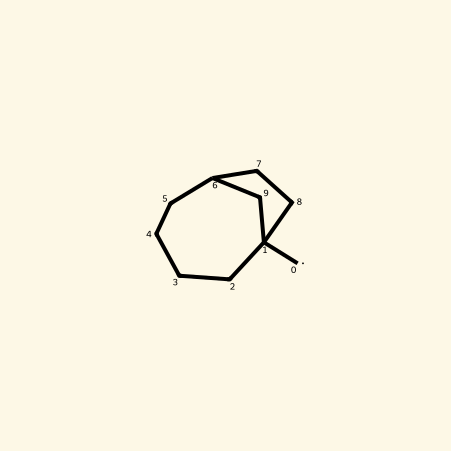 [CH2]C12CCCCC(CC1)C2